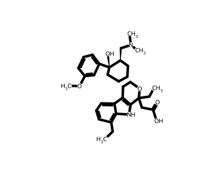 CCc1cccc2c3c([nH]c12)C(CC)(CC(=O)O)OCC3.COc1cccc([C@@]2(O)CCCC[C@@H]2CN(C)C)c1